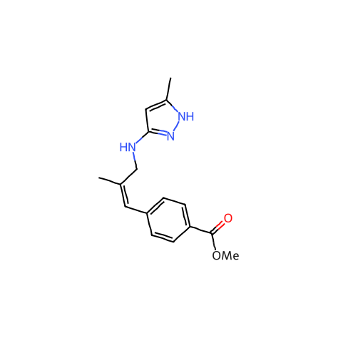 COC(=O)c1ccc(C=C(C)CNc2cc(C)[nH]n2)cc1